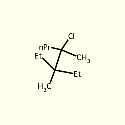 CCCC(C)(Cl)C(C)(CC)CC